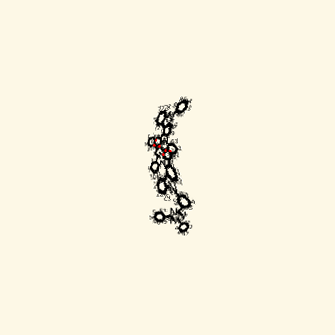 c1ccc(-c2cc(-c3ccccc3-n3c4ccccc4c4ccc5c(c6ccccc6n5-c5cccc(-c6nc(-c7ccccc7)nc(-c7ccccc7)n6)c5)c43)nc(-c3ccccc3-n3c4ccccc4c4c5c6ccccc6n(-c6ccccc6)c5ccc43)n2)cc1